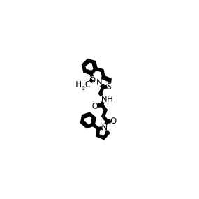 COc1ccccc1Cc1csc(CNC(=O)CCC(=O)N2CCCC2c2ccccc2)n1